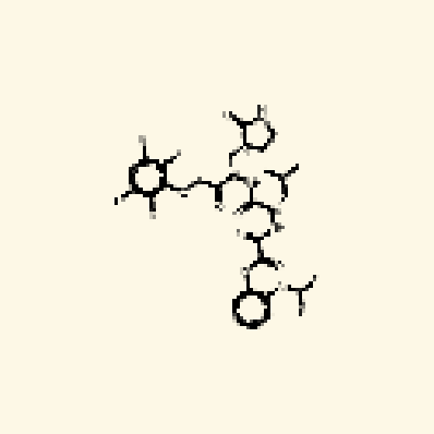 CC(C)C[C@H](NC(=O)C(=O)Nc1ccccc1OC(F)F)C(=O)N[C@@H](C[C@@H]1CCNC1=O)C(=O)COc1c(F)c(F)cc(F)c1F